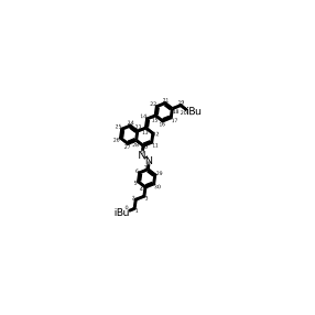 CCC(C)CCCc1ccc(N=NC2=CCC(=Cc3ccc(CC(C)CC)cc3)c3ccccc32)cc1